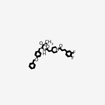 COC(=O)[C@H](Cc1ccc(OCc2ccccc2)cc1)NC(=O)CC1CCN(C(=O)CCc2ccc(F)c(F)c2)CC1